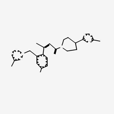 CC(=CC(=O)N1CCC(c2nnc(C)o2)CC1)c1ccc(Cl)cc1Cn1nnc(C)n1